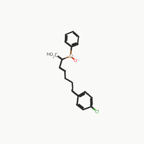 O=C(O)C(CCCCCc1ccc(Cl)cc1)[S+]([O-])c1ccccc1